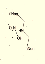 CCCCCCCCCCNCCCCCCCCCC.O=[N+]([O-])O